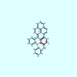 CCC(=O)Oc1cc2ccc3cccc4ccc(c1-c1ccccc1P(c1ccccc1)c1ccccc1)c2c34